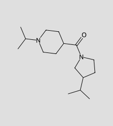 CC(C)C1CCN(C(=O)C2CCN(C(C)C)CC2)C1